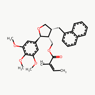 C/C=C(/C)C(=O)OC[C@H]1[C@@H](Cc2cccc3ccccc23)CO[C@@H]1c1cc(OC)c(OC)c(OC)c1